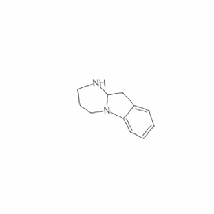 c1ccc2c(c1)CC1NCCCN21